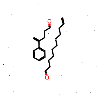 C=C(CCC=O)c1ccccc1.C=CCCCCCCCCC=O